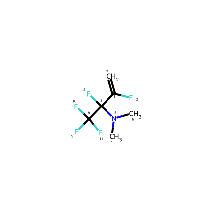 C=C(F)C(F)(N(C)C)C(F)(F)F